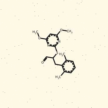 COc1cc(OC)nc(SC(C=O)Cc2c(C)cccc2C)n1